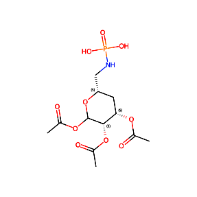 CC(=O)OC1O[C@H](CNP(=O)(O)O)C[C@H](OC(C)=O)[C@@H]1OC(C)=O